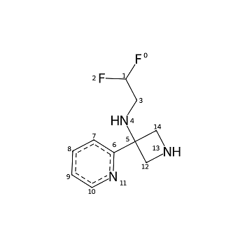 FC(F)CNC1(c2ccccn2)CNC1